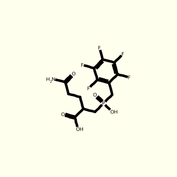 NC(=O)CCC(CP(=O)(O)Cc1c(F)c(F)c(F)c(F)c1F)C(=O)O